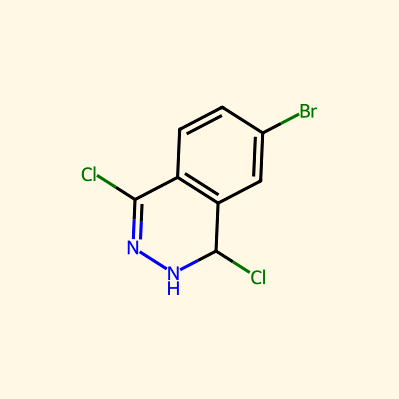 ClC1=NNC(Cl)c2cc(Br)ccc21